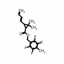 C=CC=CC1C(C(=O)OCc2c(F)c(F)c(C)c(F)c2F)C1(C)C